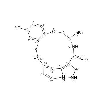 CCCCC1COc2ccc(F)cc2CNC2=NC3=C(CNN3C=C2)C(=O)N1